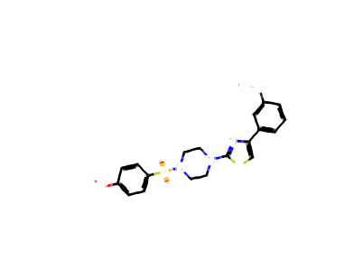 COc1cccc(-c2csc(N3CCN(S(=O)(=O)c4ccc(OC(F)(F)F)cc4)CC3)n2)c1